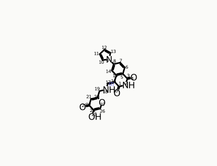 O=C1NC(=O)c2ccc(-n3cccc3)cc2/C1=C/NCc1cc(=O)c(O)co1